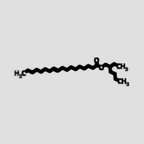 CCCCCCCC=CCCCCCCCCC(=O)OCC(CC)CCCC